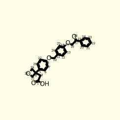 O=C(O)CC1(c2ccc(OCc3ccc(OCC(=O)c4ccccc4)cc3)cc2)COC1